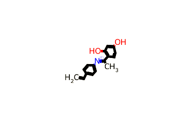 C=Cc1ccc(/N=C(\C)c2ccc(O)cc2O)cc1